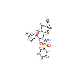 CC1(C)CC(NS(=O)(=O)c2ccccc2)c2ccc([O])cc2O1